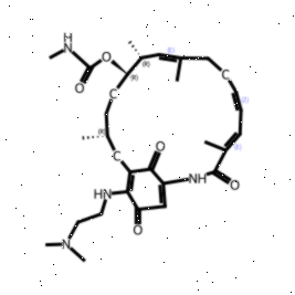 CNC(=O)O[C@@H]1CC[C@@H](C)CC2=C(NCCN(C)C)C(=O)C=C(NC(=O)/C(C)=C/C=C\CC/C(C)=C/[C@H]1C)C2=O